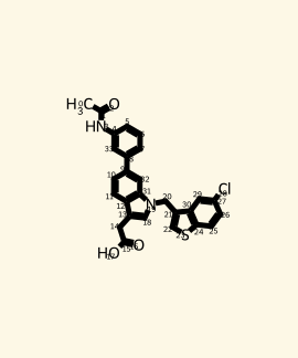 CC(=O)Nc1cccc(-c2ccc3c(CC(=O)O)cn(Cc4csc5ccc(Cl)cc45)c3c2)c1